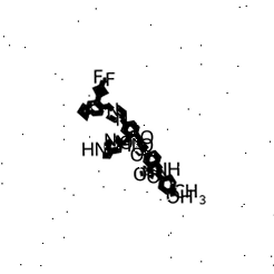 CC1(O)CCC(CNc2ccc(S(=O)(=O)NC(=O)c3ccc(N4CCN(CC5=C(C67CC(C(F)F)(C6)C7)CC6(CCC6)CC5)CC4)cc3Oc3cnc4[nH]ccc4c3)cc2[N+](=O)[O-])CC1